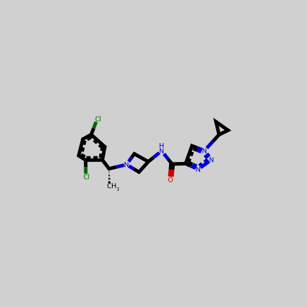 C[C@H](c1cc(Cl)ccc1Cl)N1CC(NC(=O)c2cn(C3CC3)nn2)C1